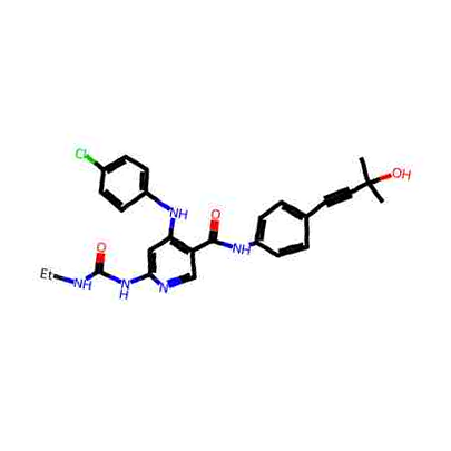 CCNC(=O)Nc1cc(Nc2ccc(Cl)cc2)c(C(=O)Nc2ccc(C#CC(C)(C)O)cc2)cn1